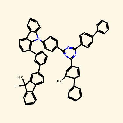 CC1C=C(c2nc(-c3ccc(-c4ccccc4)cc3)nc(-c3ccc(-n4c5ccccc5c5cccc(-c6cccc(-c7ccc8c(c7)C(C)(C)c7ccccc7-8)c6)c54)cc3)n2)C=CC1c1ccccc1